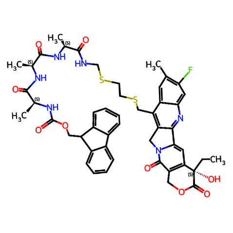 CC[C@@]1(O)C(=O)OCc2c1cc1n(c2=O)Cc2c-1nc1cc(F)c(C)cc1c2CSCCSCNC(=O)[C@H](C)NC(=O)[C@H](C)NC(=O)[C@H](C)NC(=O)OCC1c2ccccc2-c2ccccc21